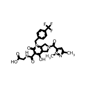 Cc1cc(C(=O)N2Cc3c(O)c(C(=O)NCC(=O)O)c(=O)n(Cc4ccc(C(F)(F)F)cc4)c3C2)n(C)n1